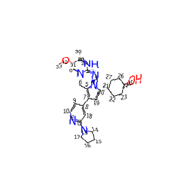 C=N/C(=N\n1c(C)c(-c2ccnc(N3CCCC3)c2)cc1[C@H]1CC[C@H](O)CC1)N[C@@H](C)COC